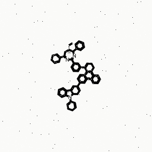 CC[C@H]1CC(C2=CCCC=C2)=NC(c2cccc(C3=CCCc4c3c3ccc(C5=CCC6C(=C5)c5ccccc5N6C5=CCCC=C5)cc3c3ccccc43)c2)=NC1c1ccccc1